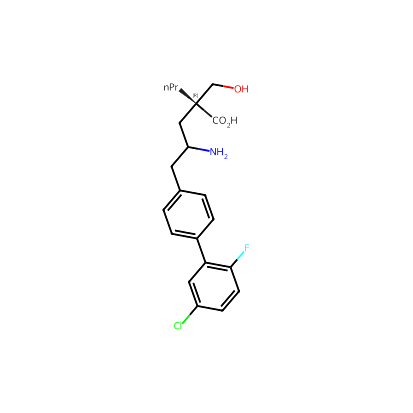 CCC[C@](CO)(CC(N)Cc1ccc(-c2cc(Cl)ccc2F)cc1)C(=O)O